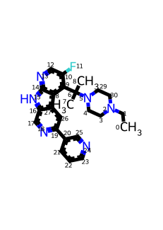 CCN1CCN(C(C)(C)c2c(F)cnc3[nH]c4cnc(-c5cccnc5)cc4c23)CC1